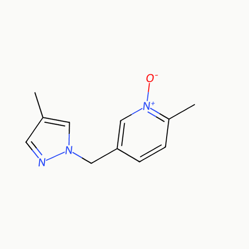 Cc1cnn(Cc2ccc(C)[n+]([O-])c2)c1